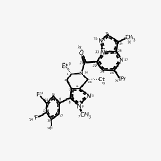 CC[C@H]1Cc2c(nn(C)c2-c2cc(F)c(F)c(F)c2)[C@@H](CC)N1C(=O)c1cc(C(C)C)nc2c(C)cnn12